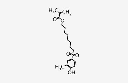 C=C(C)C(=O)OCCCCCCCCS(=O)(=O)c1ccc(O)c(C)c1